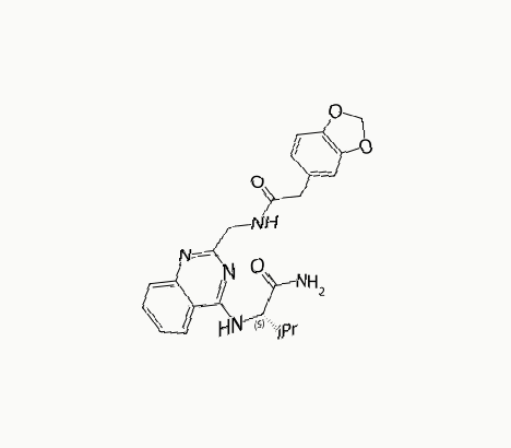 CC(C)[C@H](Nc1nc(CNC(=O)Cc2ccc3c(c2)OCO3)nc2ccccc12)C(N)=O